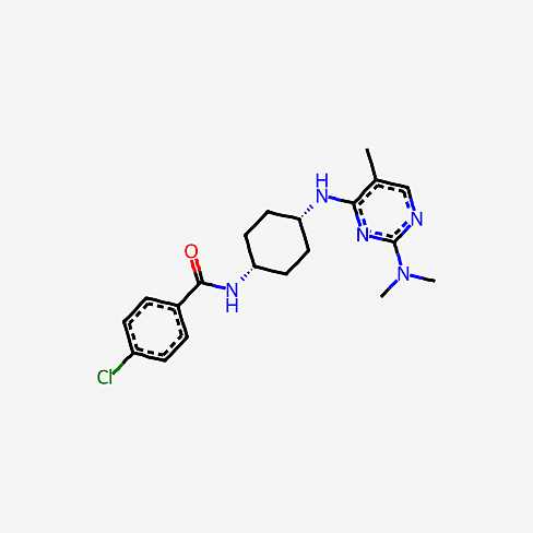 Cc1cnc(N(C)C)nc1N[C@H]1CC[C@@H](NC(=O)c2ccc(Cl)cc2)CC1